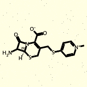 C[n+]1ccc(SCC2=C(C(=O)[O-])N3C(=O)C(N)[C@@H]3SC2)cc1